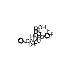 CC(C)(C)[C@H](NC(=O)OCc1ccccc1)C(=O)N1CC[C@@H]2[C@H]1[C@@H](Oc1ccc(F)c(F)c1)CN2C(=O)O